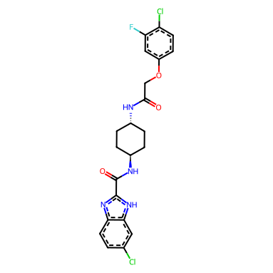 O=C(COc1ccc(Cl)c(F)c1)N[C@H]1CC[C@H](NC(=O)c2nc3ccc(Cl)cc3[nH]2)CC1